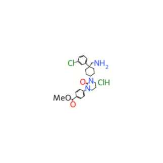 COC(=O)c1ccc(N2CCCN([C@H]3CC[C@@](CN)(c4cccc(Cl)c4)CC3)C2=O)cc1.Cl